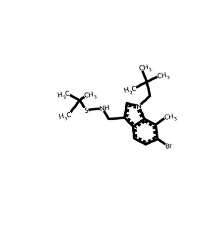 Cc1c(Br)ccc2c(CNSC(C)(C)C)cn(CC(C)(C)C)c12